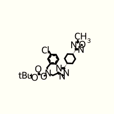 Cc1nc([C@H]2CC[C@@H](c3nnc4n3-c3ccc(Cl)cc3CN(OC(=O)OC(C)(C)C)C4)CC2)no1